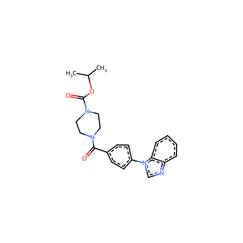 CC(C)OC(=O)N1CCN(C(=O)c2ccc(-n3cnc4ccccc43)cc2)CC1